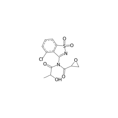 CC(O)C(=O)N(C(=O)C1CO1)C1=NS(=O)(=O)c2cccc(Cl)c21